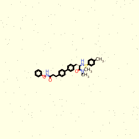 Cc1ccc(SN[C@@H](Cc2ccc(-c3ccc(CCC(=O)NOc4ccccc4)cc3)cc2)C(=O)N(C)C)cc1